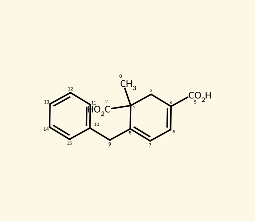 CC1(C(=O)O)CC(C(=O)O)=CC=C1Cc1ccccc1